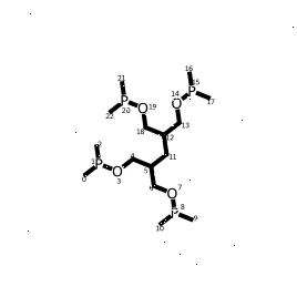 CP(C)OCC(COP(C)C)CC(COP(C)C)COP(C)C